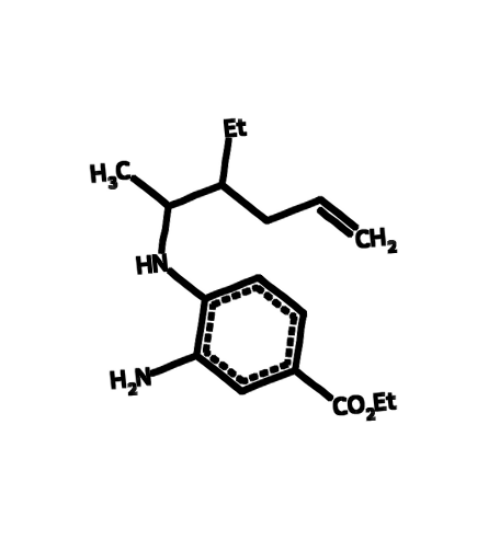 C=CCC(CC)C(C)Nc1ccc(C(=O)OCC)cc1N